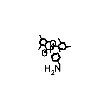 Cc1cc(C)c(C(=O)P(C(=O)c2c(C)cc(C)cc2C)c2ccc(CN)cc2)c(C)c1